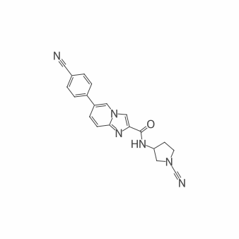 N#Cc1ccc(-c2ccc3nc(C(=O)NC4CCN(C#N)C4)cn3c2)cc1